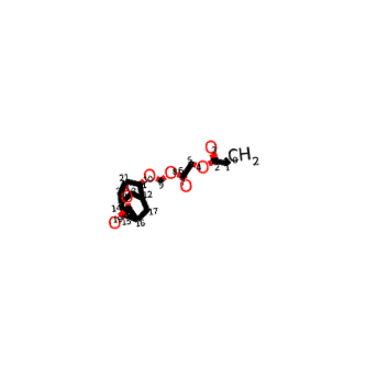 C=CC(=O)OCC(=O)OCOC1C2CC3CC(C2)C(=O)OC1C3